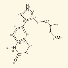 CSCC(C)OCc1c[nH]nc1-c1ccc2c(c1)CCC(=O)N2C